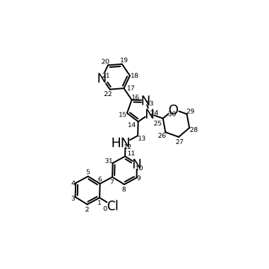 Clc1ccccc1-c1ccnc(NCc2cc(-c3cccnc3)nn2C2CCCCO2)c1